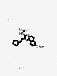 CCC(C)C(=O)Nc1nc2c(nc1CCC1CCCCC1)-c1ccc(OC)cc1CC2